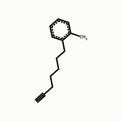 [C]#CCCCCCc1ccccc1C